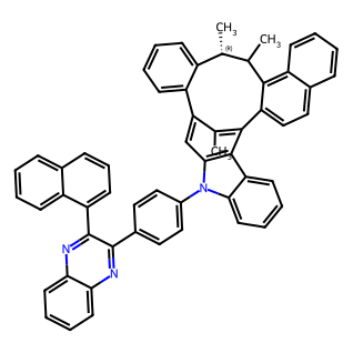 Cc1c2cc3c(c1-c1ccc4ccccc4c1C(C)[C@@H](C)c1ccccc1-2)c1ccccc1n3-c1ccc(-c2nc3ccccc3nc2-c2cccc3ccccc23)cc1